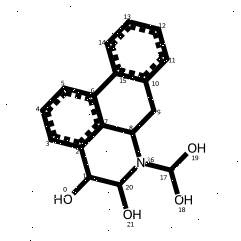 OC1c2cccc3c2C(Cc2ccccc2-3)N(C(O)O)C1O